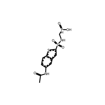 CC(=O)Nc1ccc2sc(S(=O)(=O)NC[PH](=O)O)cc2c1